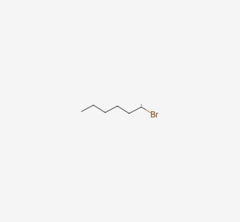 CCCCC[CH]Br